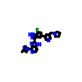 Cc1cn(-c2nccc3[nH]c(-c4n[nH]c5c(F)cc(-c6cncc(CN7CCCC7)c6)cc45)nc23)cn1